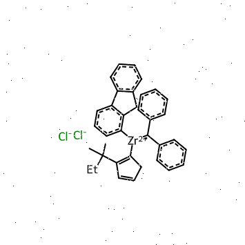 CCC(C)(C)C1=[C]([Zr+2](=[C](c2ccccc2)c2ccccc2)[c]2cccc3c2Cc2ccccc2-3)CC=C1.[Cl-].[Cl-]